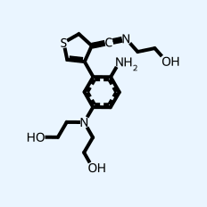 Nc1ccc(N(CCO)CCO)cc1C1=CSCC1=C=NCCO